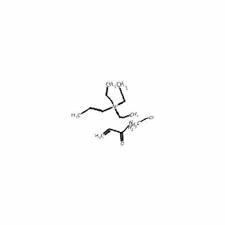 C=CC(N)=O.CCC[N+](CC)(CC)CC.CCl